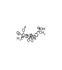 C/C(=C\c1ccc2nc(C3(NC(=O)c4ccc5c(C6CCC(F)C6)c(-c6ccoc6)n(C)c5c4)CCC3)n(C)c2c1)C(=O)O